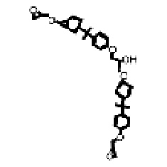 CC(C)(c1ccc(OCC(O)COc2ccc(C(C)(C)c3ccc4c(c3)C4OCC3CO3)cc2)cc1)c1ccc(OCC2CO2)cc1